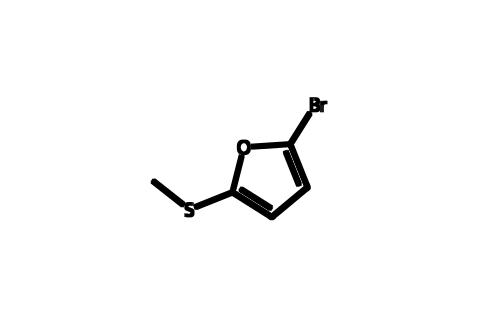 CSc1ccc(Br)o1